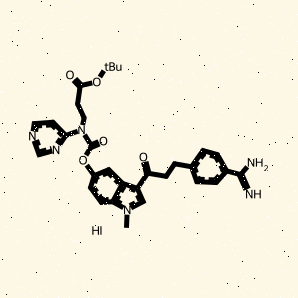 Cn1cc(C(=O)CCc2ccc(C(=N)N)cc2)c2cc(OC(=O)N(CCC(=O)OC(C)(C)C)c3ccncn3)ccc21.I